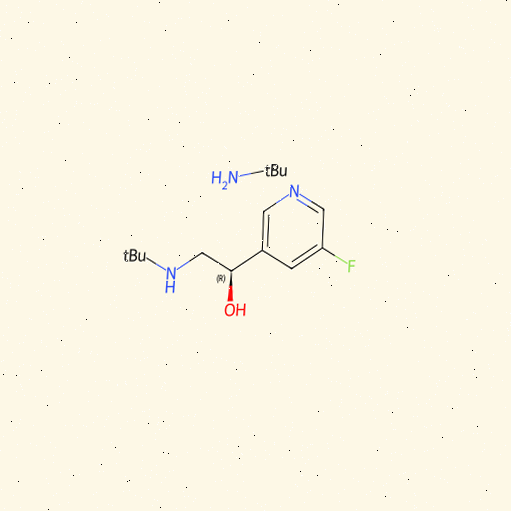 CC(C)(C)N.CC(C)(C)NC[C@H](O)c1cncc(F)c1